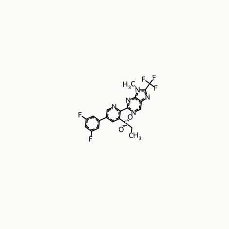 CCS(=O)(=O)c1cc(-c2cc(F)cc(F)c2)cnc1-c1ncc2nc(C(F)(F)F)n(C)c2n1